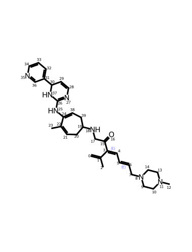 C=C(C)/C(=C\C=C\CN1CCN(C)CC1)C(=O)CNC1CC=C(C)C(NC2=NC=CC(c3cccnc3)N2)=CC1